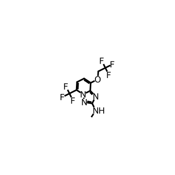 CNc1nc2c(OCC(F)(F)F)ccc(C(F)(F)F)n2n1